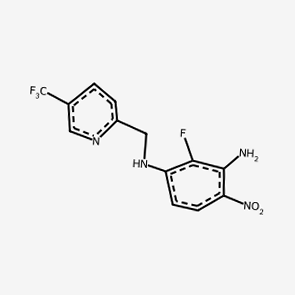 Nc1c([N+](=O)[O-])ccc(NCc2ccc(C(F)(F)F)cn2)c1F